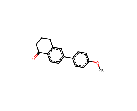 O=C1CCCc2cc(-c3ccc(OC(F)(F)F)cc3)ccc21